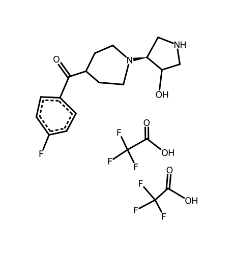 O=C(O)C(F)(F)F.O=C(O)C(F)(F)F.O=C(c1ccc(F)cc1)C1CCN([C@H]2CNCC2O)CC1